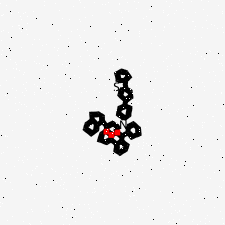 c1cc(-c2cccc3ccccc23)cc(N(c2ccc(-c3ccc4c(c3)sc3ccccc34)cc2)c2ccccc2-c2cc3ccccc3c3ccccc23)c1